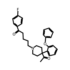 CC(=O)C1(c2ccccc2Oc2ccccc2)CCN(CCCCC(=O)c2ccc(F)cc2)CC1